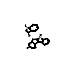 Cc1ccc2c(c1)Cc1c-2c2ccccc2n1C.Cn1cc(Br)c2ccccc21